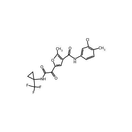 Cc1ccc(NC(=O)c2cc(C(=O)C(=O)NC3(C(F)(F)F)CC3)oc2C)cc1Cl